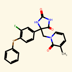 Cc1cccn(CC2(c3ccc(Sc4ccccc4)c(F)c3)NC(=O)NC2=O)c1=O